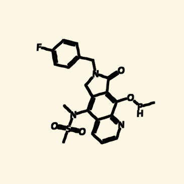 CPOc1c2c(c(N(C)S(C)(=O)=O)c3cccnc13)CN(Cc1ccc(F)cc1)C2=O